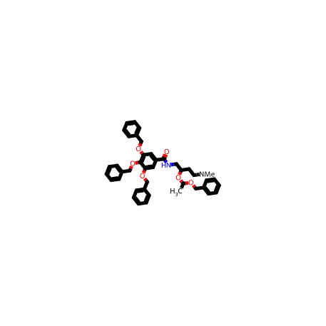 CNCCC(CNC(=O)c1cc(OCc2ccccc2)c(OCc2ccccc2)c(OCc2ccccc2)c1)OC(C)OCc1ccccc1